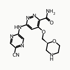 N#Cc1cnc(Nc2cc(OC[C@@H]3CNCCO3)c(C(N)=O)nn2)cn1